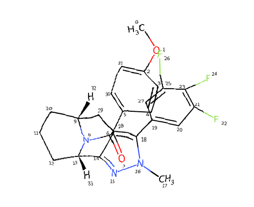 COc1ccc(C(=O)N2[C@@H]3CCC[C@H]2c2nn(C)c(-c4cc(F)c(F)c(F)c4)c2C3)cc1